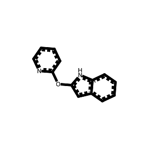 c1ccc(Oc2cc3ccccc3[nH]2)nc1